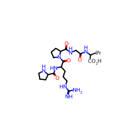 CC(C)C(NC(=O)CNC(=O)C1CCCN1C(=O)C(CCCNC(=N)N)NC(=O)C1CCCN1)C(=O)O